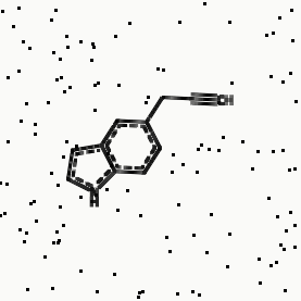 C#CCc1ccc2[nH]ccc2c1